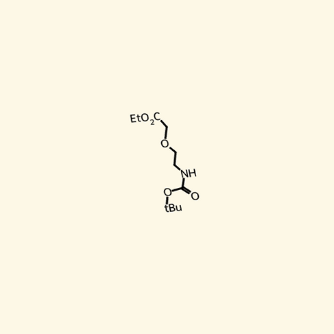 CCOC(=O)COCCNC(=O)OC(C)(C)C